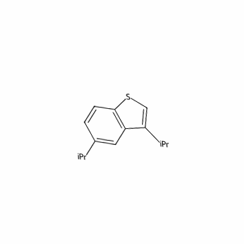 CC(C)c1ccc2scc(C(C)C)c2c1